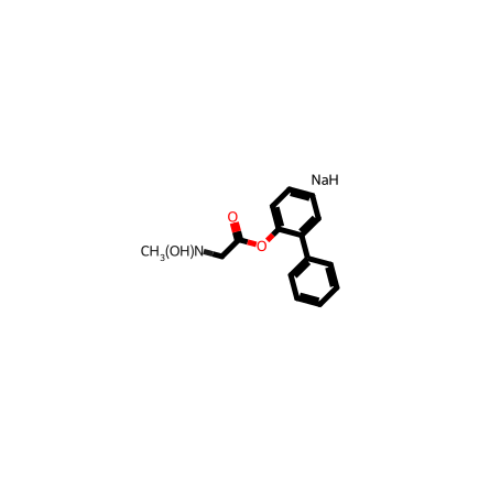 CN(O)CC(=O)Oc1ccccc1-c1ccccc1.[NaH]